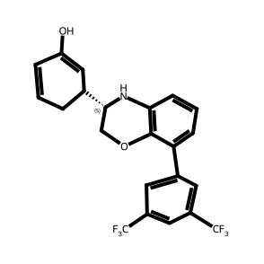 OC1=CC([C@H]2COc3c(cccc3-c3cc(C(F)(F)F)cc(C(F)(F)F)c3)N2)CC=C1